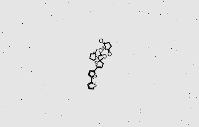 C[C@@H]1CCC[N+]1(C(=O)ON1C(=O)CCC1=O)C1(C)CC=C(c2ccc(-c3cccs3)s2)S1